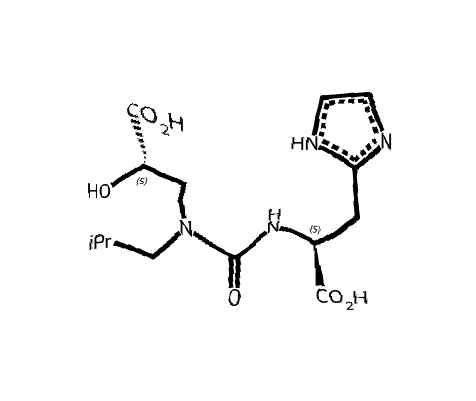 CC(C)CN(C[C@H](O)C(=O)O)C(=O)N[C@@H](Cc1ncc[nH]1)C(=O)O